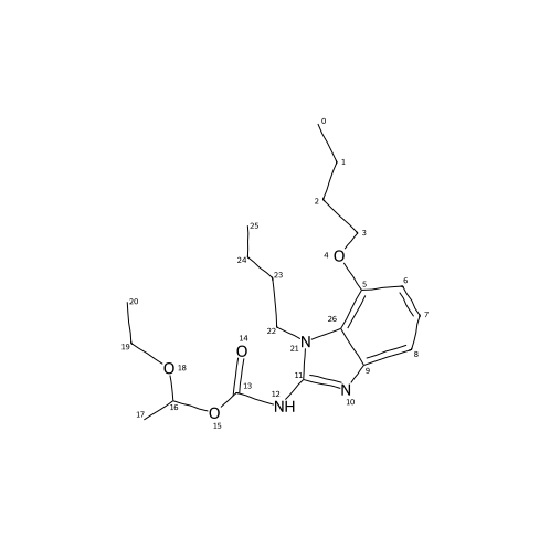 CCCCOc1cccc2nc(NC(=O)OC(C)OCC)n(CCCC)c12